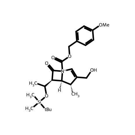 COc1ccc(COC(=O)[N+]23C=C(CO)[C@H](C)[C@H]2[C@@H](C(C)O[Si](C)(C)C(C)(C)C)C3=O)cc1